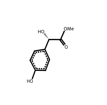 COC(=O)[C@@H](O)c1ccc(O)cc1